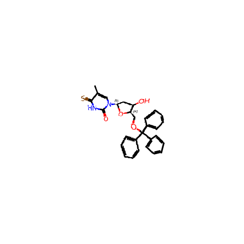 Cc1cn([C@H]2CC(O)[C@@H](COC(c3ccccc3)(c3ccccc3)c3ccccc3)O2)c(=O)[nH]c1=S